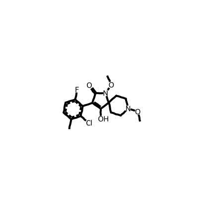 CON1CCC2(CC1)C(O)=C(c1c(F)ccc(C)c1Cl)C(=O)N2OC